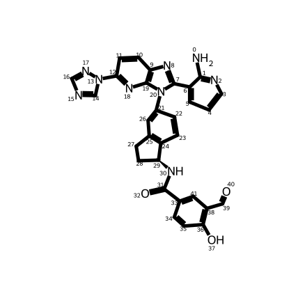 Nc1ncccc1-c1nc2ccc(-n3cncn3)nc2n1-c1ccc2c(c1)CC[C@@H]2NC(=O)c1ccc(O)c(C=O)c1